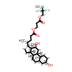 C[C@H](CCC(=O)OCCC(=O)OCC(F)(F)S(=O)(=O)O)[C@H]1CC[C@H]2[C@@H]3CCC4C[C@H](O)CC[C@]4(C)[C@H]3C[C@H](O)[C@]12C